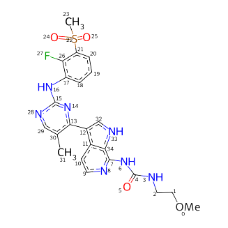 COCCNC(=O)Nc1nccc2c(-c3nc(Nc4cccc(S(C)(=O)=O)c4F)ncc3C)c[nH]c12